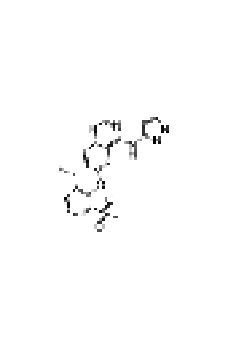 Cn1ccc(Nc2ncnc3ccc(Oc4c(CF)cccc4S(C)(=O)=O)cc23)n1